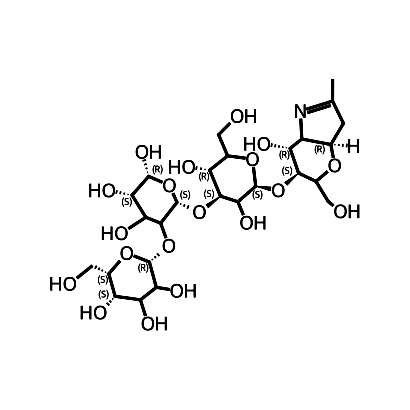 CC1=NC2[C@@H](O)[C@H](O[C@@H]3OC(CO)[C@@H](O)[C@H](O[C@H]4O[C@@H](O)[C@@H](O)C(O)C4O[C@H]4O[C@@H](CO)[C@@H](O)C(O)C4O)C3O)C(CO)O[C@@H]2C1